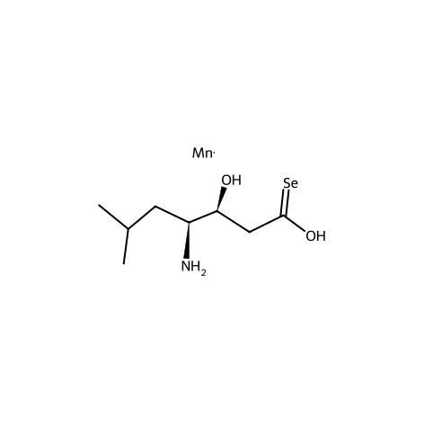 CC(C)C[C@H](N)[C@@H](O)CC(O)=[Se].[Mn]